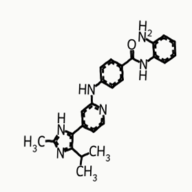 Cc1nc(C(C)C)c(-c2ccnc(Nc3ccc(C(=O)Nc4ccccc4N)cc3)c2)[nH]1